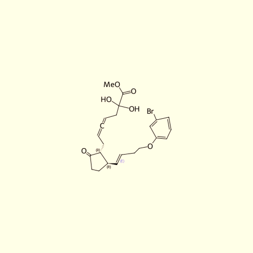 COC(=O)C(O)(O)CC=C=CC[C@H]1C(=O)CC[C@@H]1/C=C/CCOc1cccc(Br)c1